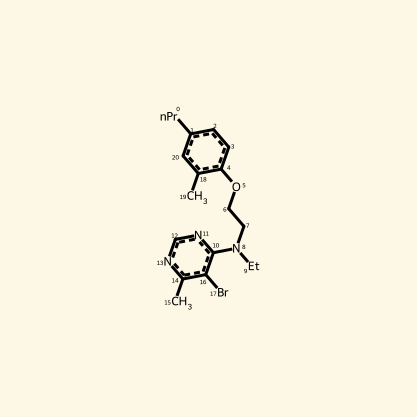 CCCc1ccc(OCCN(CC)c2ncnc(C)c2Br)c(C)c1